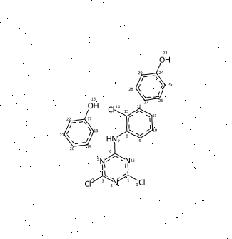 Clc1nc(Cl)nc(Nc2ccccc2Cl)n1.Oc1ccccc1.Oc1ccccc1